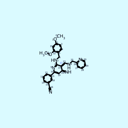 COc1ccc(CNC2=NC(c3cccc(C#N)c3)=CC(=N)/C2=C\NCc2ccccn2)c(OC)c1